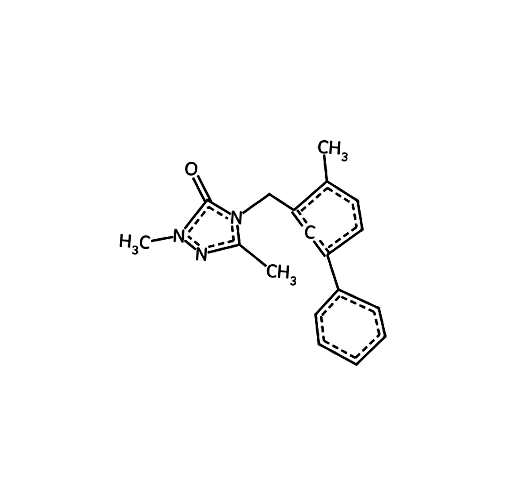 Cc1ccc(-c2ccccc2)cc1Cn1c(C)nn(C)c1=O